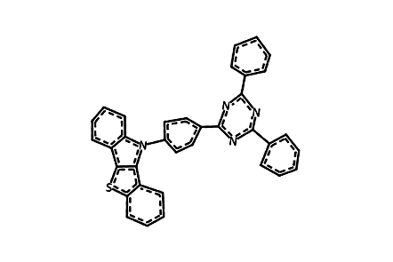 c1ccc(-c2nc(-c3ccccc3)nc(-c3ccc(-n4c5ccccc5c5sc6ccccc6c54)cc3)n2)cc1